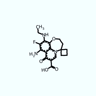 CCNc1c(F)c(N)c2c(=O)c(C(=O)O)cn3c2c1OCCC31CCC1